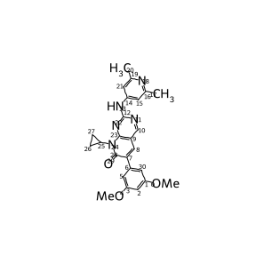 COc1cc(OC)cc(-c2cc3cnc(Nc4cc(C)nc(C)c4)nc3n(C3CC3)c2=O)c1